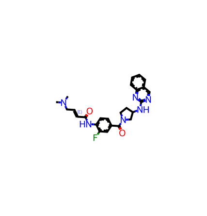 CN(C)C/C=C/C(=O)Nc1ccc(C(=O)N2CCC(Nc3ncc4ccccc4n3)C2)cc1F